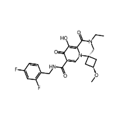 CCN1C[C@]2(C[C@H](OC)C2)n2cc(C(=O)NCc3ccc(F)cc3F)c(=O)c(O)c2C1=O